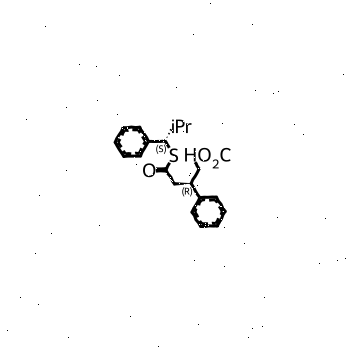 CC(C)[C@H](SC(=O)C[C@@H](CC(=O)O)c1ccccc1)c1ccccc1